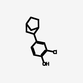 Oc1ccc(C2CC3CCC2C3)cc1Cl